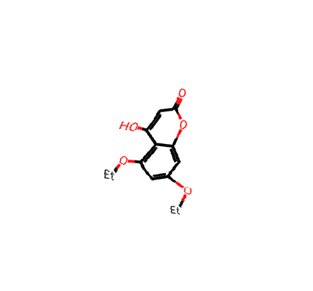 CCOc1cc(OCC)c2c(O)cc(=O)oc2c1